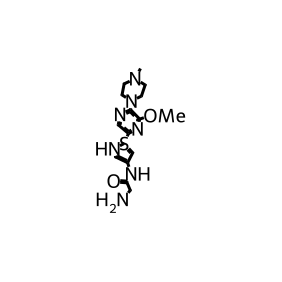 COc1nc(S2=CC(NC(=O)CN)=CN2)cnc1N1CCN(C)CC1